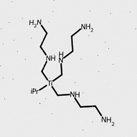 C[CH](C)[Ti]([CH2]NCCN)([CH2]NCCN)[CH2]NCCN